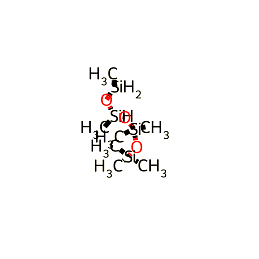 C[SiH2]O[SiH](C)O[Si](C)(C)O[Si](C)(C)C